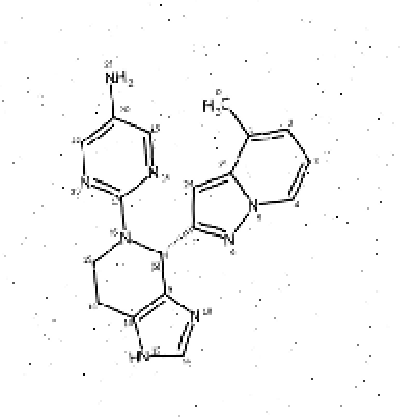 Cc1cccn2nc([C@@H]3c4nc[nH]c4CCN3c3ncc(N)cn3)cc12